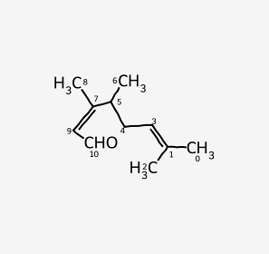 CC(C)=CCC(C)C(C)=CC=O